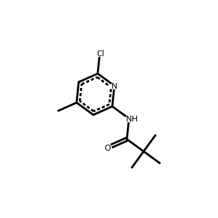 Cc1cc(Cl)nc(NC(=O)C(C)(C)C)c1